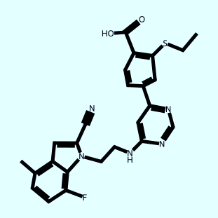 CCSc1cc(-c2cc(NCCn3c(C#N)cc4c(C)ccc(F)c43)ncn2)ccc1C(=O)O